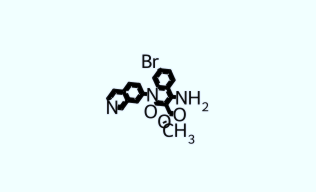 COC(=O)c1c(N)c2ccc(Br)cc2n(-c2ccc3ccncc3c2)c1=O